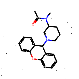 CC(=O)N(C)C1CCCN(C2c3ccccc3Oc3ccccc32)C1